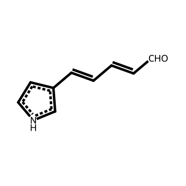 O=CC=CC=Cc1cc[nH]c1